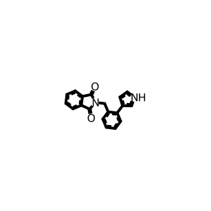 O=C1c2ccccc2C(=O)N1Cc1ccccc1-c1cc[nH]c1